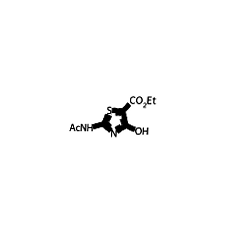 CCOC(=O)c1sc(NC(C)=O)nc1O